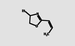 C/C=C\C1=NC(CC)CO1